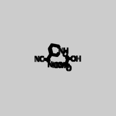 CO/N=C(/C#N)C1=CCCNC1.O=C(O)C(=O)O